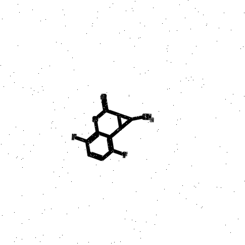 CC1C2C(=O)Oc3c(F)ccc(F)c3C12